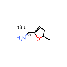 CC1CC=C([C@H](N)C(C)(C)C)O1